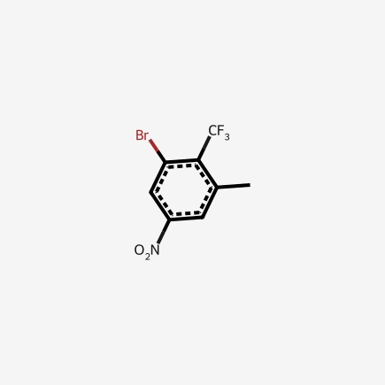 Cc1cc([N+](=O)[O-])cc(Br)c1C(F)(F)F